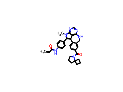 C=CC(=O)Nc1ccc(-c2c3c4c(ncnc4n2C)NCc2cc(C(=O)N4CCCC45CCC5)ccc2-3)cc1